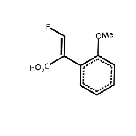 COc1ccccc1C(=CF)C(=O)O